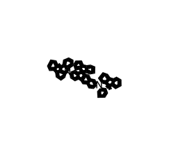 CC1(C)c2ccccc2-c2cccc(N(c3ccccc3)c3ccc4cc5c(cc4c3)C3(c4ccccc4-c4ccccc43)c3cc(N4c6ccccc6C6(C)c7ccccc7-c7cccc4c76)ccc3-5)c21